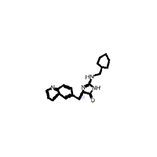 O=C1NC(NCC2CCCCC2)=N/C1=C\c1ccc2ncccc2c1